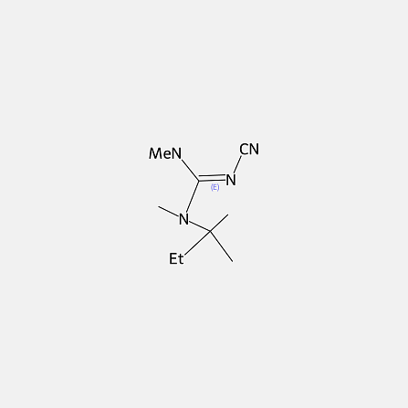 CCC(C)(C)N(C)/C(=N/C#N)NC